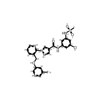 CS(=O)(=O)Nc1cc(Cl)cc(NC(=O)c2cnn(-c3ncccc3COc3cncc(F)c3)c2)c1